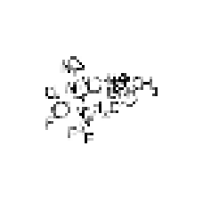 CC1CCC(C)N1S(=O)(=O)N[C@H]1CC2=C(c3ccn(C(F)F)n3)[C@H](c3ccc(F)cc3Cl)N=C(c3nccs3)N2C1